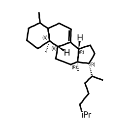 CC(C)CCCC(C)[C@H]1CC[C@H]2C3=CCC4C(C)CCC[C@]4(C)[C@H]3CC[C@]12C